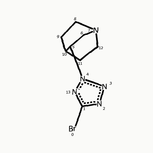 Brc1nnn(C2CN3CCC2CC3)n1